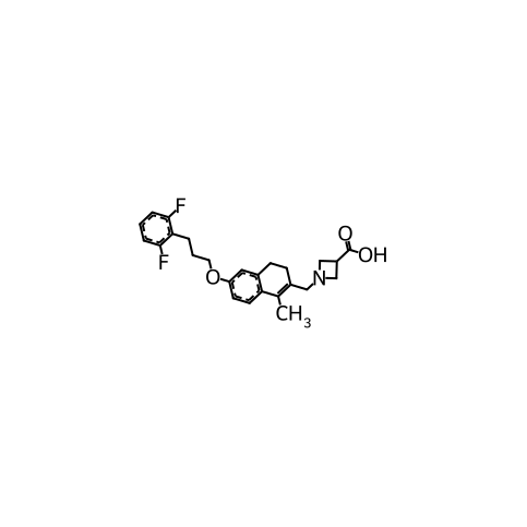 CC1=C(CN2CC(C(=O)O)C2)CCc2cc(OCCCc3c(F)cccc3F)ccc21